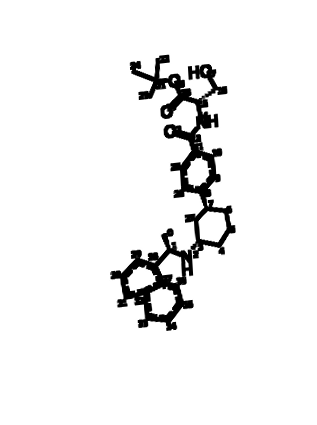 C[C@@H](N[C@H]1CCC[C@H](c2ccc(C(=O)N[C@@H](CO)C(=O)OC(C)(C)C)cc2)C1)c1cccc2ccccc12